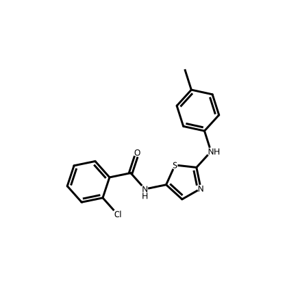 Cc1ccc(Nc2ncc(NC(=O)c3ccccc3Cl)s2)cc1